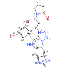 O=C1CCCN1CCCn1nnnc1C(Nc1ccc2[nH]cnc2c1)c1cc(Br)cc(Br)c1